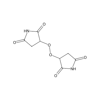 O=C1CC(OOC2CC(=O)NC2=O)C(=O)N1